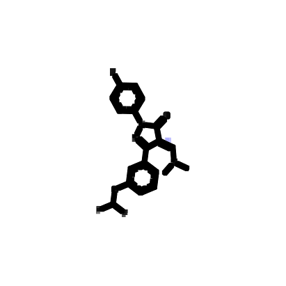 CN(C)/C=C1/C(=O)N(c2ccc(F)cc2)N=C1c1cccc(OC(F)F)c1